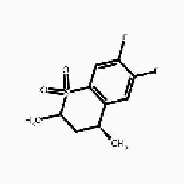 CC1C[C@H](C)c2cc(F)c(F)cc2S1(=O)=O